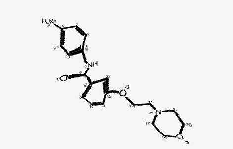 Nc1ccc(NC(=O)c2cccc(OCCN3CCOCC3)c2)cc1